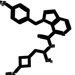 CC(CC1CC(C(=O)O)C1)NC(=O)c1nccc2ccn(Cc3ccc(C(F)(F)F)cc3)c12